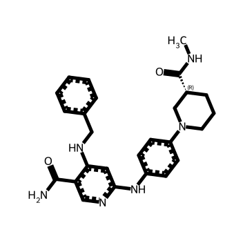 CNC(=O)[C@@H]1CCCN(c2ccc(Nc3cc(NCc4ccccc4)c(C(N)=O)cn3)cc2)C1